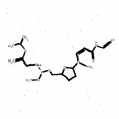 C=C(CN[P@@](OC)OCC1CCC(N(C)/C=C\C(=O)NC=O)O1)OC(C)C